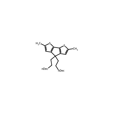 CCCCCCCCCCCCC1(CCCCCCCCCCCC)c2cc(C)sc2-c2sc(C)cc21